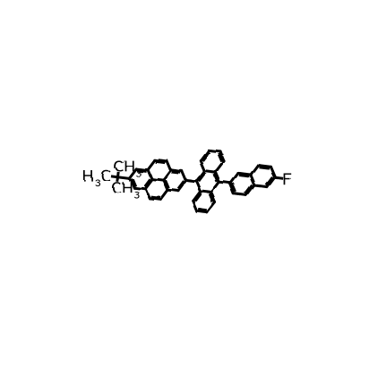 CC(C)(C)c1cc2ccc3cc(-c4c5ccccc5c(-c5ccc6cc(F)ccc6c5)c5ccccc45)cc4ccc(c1)c2c34